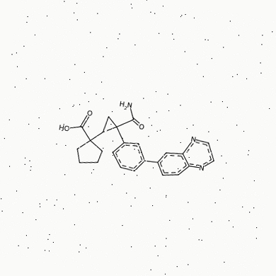 NC(=O)C1(c2cccc(-c3ccc4nccnc4c3)c2)CC1C1(C(=O)O)CCCC1